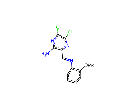 COc1ccccc1N=Cc1nc(Cl)c(Cl)nc1N